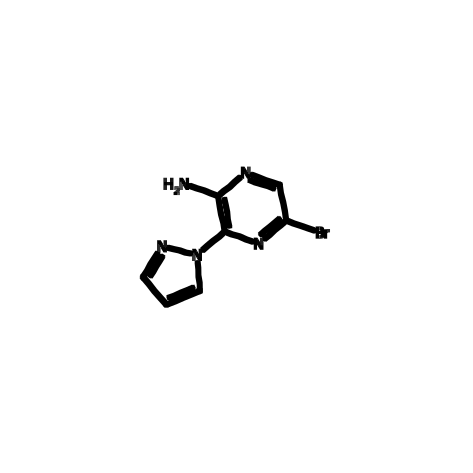 Nc1ncc(Br)nc1-n1cccn1